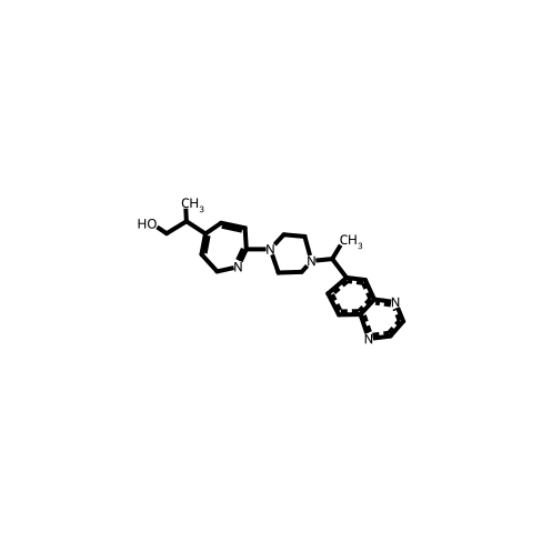 CC(CO)C1=CCN=C(N2CCN(C(C)c3ccc4nccnc4c3)CC2)C=C1